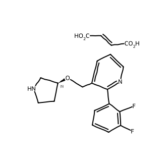 Fc1cccc(-c2ncccc2CO[C@H]2CCNC2)c1F.O=C(O)C=CC(=O)O